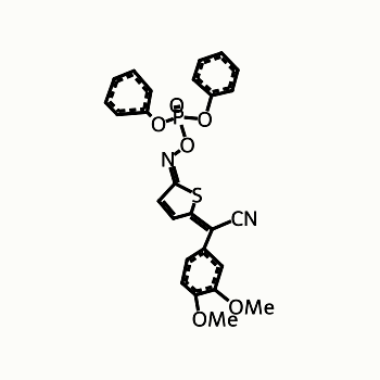 COc1ccc(C(C#N)=C2C=CC(=NOP(=O)(Oc3ccccc3)Oc3ccccc3)S2)cc1OC